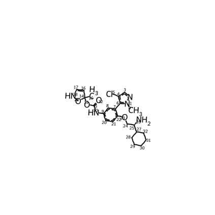 Cn1ncc(Cl)c1-c1cc(NC(=O)OC2(C)C=CNO2)ccc1OC[C@@H](N)C1CCCCC1